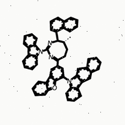 C[C@@H]1CC/C(c2cc(-n3c4ccccc4c4cc5ccccc5cc43)c3oc4ccccc4c3c2)=N\C(n2c3ccccc3c3ccccc32)=N/C1c1cccc2ccccc12